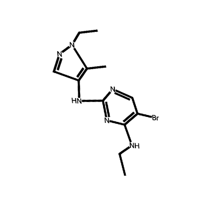 CCNc1nc(Nc2cnn(CC)c2C)ncc1Br